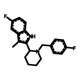 Cc1c(C2CCCCN2Cc2ccc(F)cc2)[nH]c2ccc(F)cc12